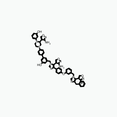 Nc1nocc1-c1c(Cc2ccccc2)ncn1Cc1cccc(Oc2ccc(-c3ncn(Cc4cc(O)cc(-c5ccc(N6CCN(c7cccc(O)c7)C(c7conc7N)C6)cc5)c4)c3-c3conc3N)cc2)c1